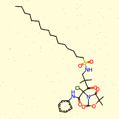 CCCCCCCCCCCCCCCCS(=O)(=O)NCC(C)(C)C(=O)C(Cl)(C(=O)Nc1ccccc1)N1C(=O)OC(C)(C)C1=O